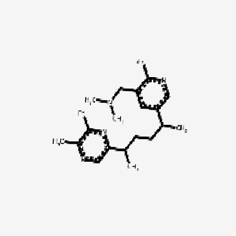 CCc1nc(C(C)CCC(C)c2cnc(C(C)C)c(CN(C)C)c2)cnc1C